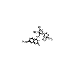 COc1ccc2c(COC3=C(O)C(=O)OC3C3COC(C)(C)O3)cc(=O)oc2c1